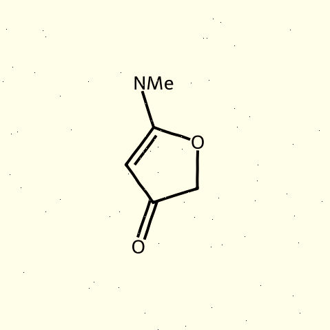 CNC1=CC(=O)CO1